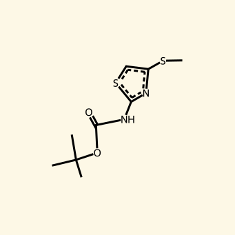 CSc1csc(NC(=O)OC(C)(C)C)n1